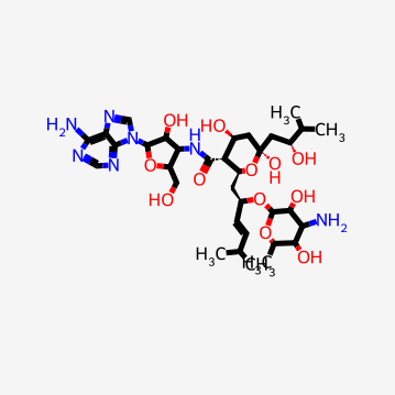 CC(C)/C=C/[C@@H](C[C@@H]1O[C@](O)(C[C@@H](O)C(C)C)C[C@H](O)[C@H]1C(=O)NC1C(CO)OC(n2cnc3c(N)ncnc32)C1O)OC1OC(C)C(O)C(N)C1O